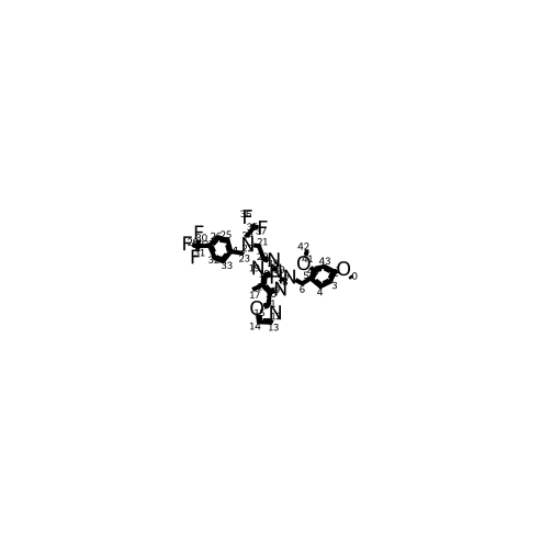 COc1ccc(CNc2nc(-c3ncco3)c(C)c3nc(CN(Cc4ccc(C(F)(F)F)cc4)CC(F)F)nn23)c(OC)c1